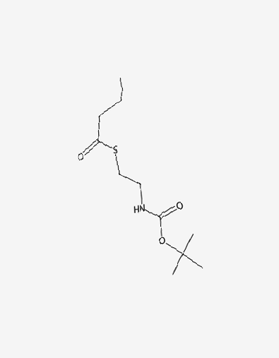 CCCC(=O)SCCNC(=O)OC(C)(C)C